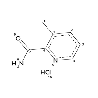 Cc1cccnc1C(N)=O.Cl